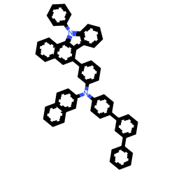 c1ccc(-c2cccc(-c3ccc(N(c4cccc(-c5cc6ccccc6c6c5c5ccccc5n6-c5ccccc5)c4)c4ccc5ccccc5c4)cc3)c2)cc1